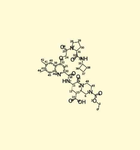 CCOC(=O)N1CCN(C(=O)[C@H](CCC(=O)O)NC(=O)c2cc(OCC(=O)N3CCC[C@H]3C(=O)NC3CCC3)c3cc(C)c(C)cc3n2)CC1